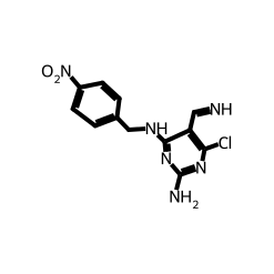 N=Cc1c(Cl)nc(N)nc1NCc1ccc([N+](=O)[O-])cc1